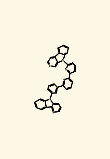 c1cc(-c2cccc(-c3cccc(-n4c5ccccc5c5ccncc54)n3)n2)cc(-n2c3ccccc3c3ncccc32)c1